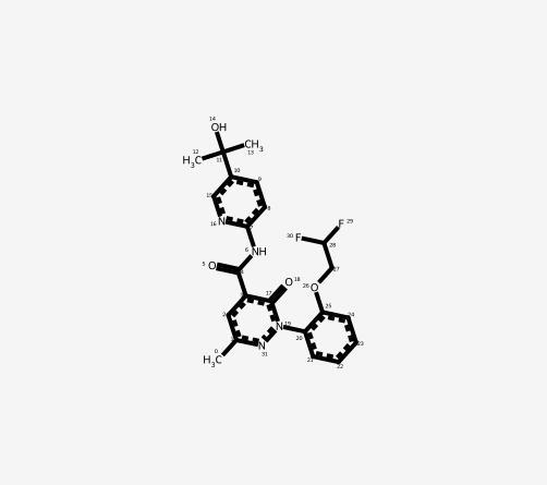 Cc1cc(C(=O)Nc2ccc(C(C)(C)O)cn2)c(=O)n(-c2ccccc2OCC(F)F)n1